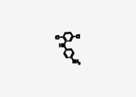 Nc1ccc(Nc2cc(Cl)ccc2Cl)cc1